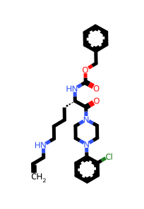 C=CCNCCCC[C@H](NC(=O)OCc1ccccc1)C(=O)N1CCN(c2ccccc2Cl)CC1